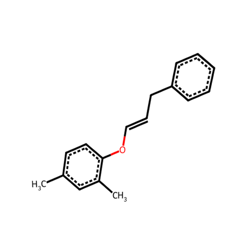 Cc1ccc(OC=CCc2ccccc2)c(C)c1